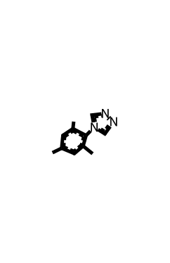 Cc1cc(C)c(-n2cnnc2)c(C)c1